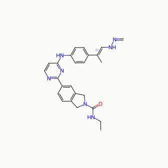 C=NN/C=C(\C)c1ccc(Nc2ccnc(-c3ccc4c(c3)CN(C(=O)NCC)C4)n2)cc1